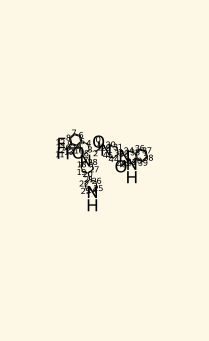 O=C(C[C@@H](Cc1cccc(C(F)(F)F)c1)C(=O)N1CCC(C2CCNCC2)CC1)N1CCC(N2Cc3ccccc3NC2=O)CC1